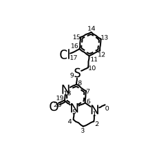 CN1CCCn2c1cc(SCc1ccccc1Cl)nc2=O